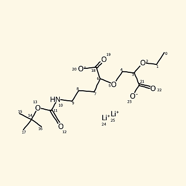 CCOC(COC(CCCNC(=O)OC(C)(C)C)C(=O)[O-])C(=O)[O-].[Li+].[Li+]